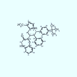 Cc1nc[nH]c1CC(C(Cc1ccc(C(C)(C)C)cc1)c1ccccc1)N1Cc2ccccc2NCC1=O